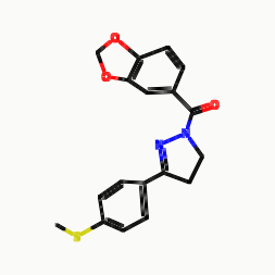 CSc1ccc(C2=NN(C(=O)c3ccc4c(c3)OCO4)CC2)cc1